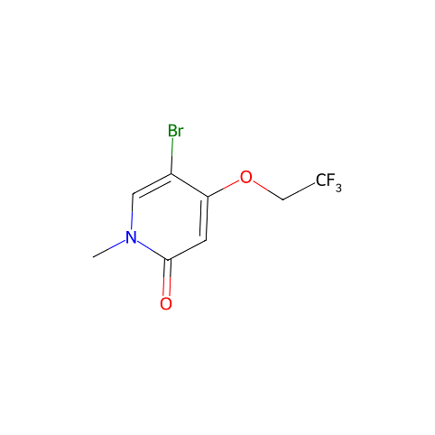 Cn1cc(Br)c(OCC(F)(F)F)cc1=O